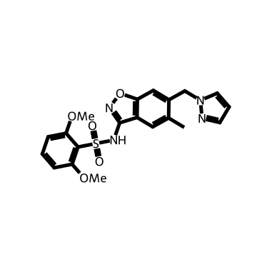 COc1cccc(OC)c1S(=O)(=O)Nc1noc2cc(Cn3cccn3)c(C)cc12